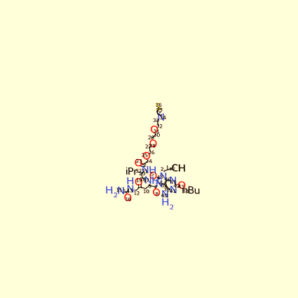 C#CCn1c(=O)n(C(=O)C(CCCNC(N)=O)NC(=O)C(NC(=O)COCCOCCOCCN=C=S)C(C)C)c2c(N)nc(OCCCC)nc21